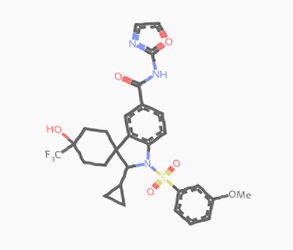 COc1cccc(S(=O)(=O)N2c3ccc(C(=O)Nc4ncco4)cc3C3(CCC(O)(C(F)(F)F)CC3)C2C2CC2)c1